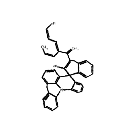 C=C(C1=C(CCC)C2(c3ccccc31)c1ccccc1-n1c3ccccc3c3cccc2c31)C(/C=C\C)=C/C=C\CCC